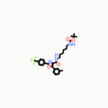 Cc1cccc(-c2oc(-c3ccc(C(F)(F)F)cc3)nc2C(=O)NCCCCCCNC(=O)OC(C)(C)C)c1